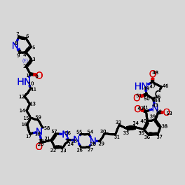 O=C(/C=C/c1cccnc1)NCCCCC1CCN(C(=O)c2ccc(N3CCN(CCCCC#Cc4cccc5c4C(=O)N(C4CCC(=O)NC4=O)C5=O)CC3)nc2)CC1